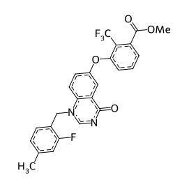 COC(=O)c1cccc(Oc2ccc3c(c2)c(=O)ncn3Cc2ccc(C)cc2F)c1C(F)(F)F